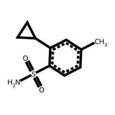 Cc1ccc(S(N)(=O)=O)c(C2CC2)c1